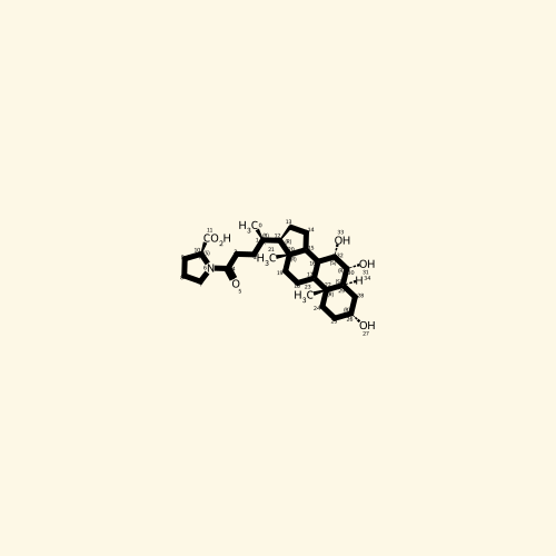 C[C@H](CCC(=O)N1CCC[C@H]1C(=O)O)[C@H]1CCC2C3C(CC[C@@]21C)[C@@]1(C)CC[C@@H](O)C[C@@H]1[C@@H](O)[C@H]3O